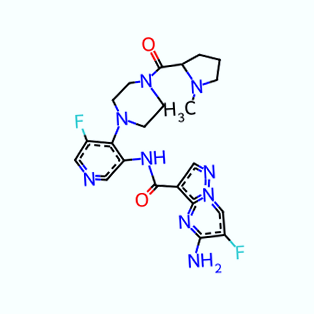 CN1CCCC1C(=O)N1CCN(c2c(F)cncc2NC(=O)c2cnn3cc(F)c(N)nc23)CC1